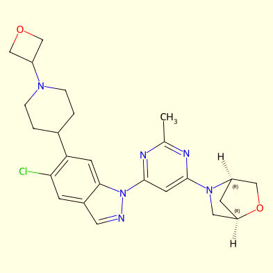 Cc1nc(N2C[C@H]3C[C@@H]2CO3)cc(-n2ncc3cc(Cl)c(C4CCN(C5COC5)CC4)cc32)n1